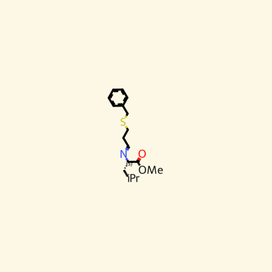 COC(=O)[C@H](CC(C)C)N=CCCSCc1ccccc1